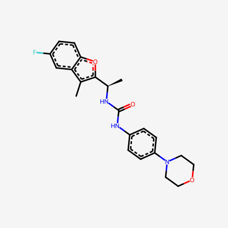 Cc1c([C@@H](C)NC(=O)Nc2ccc(N3CCOCC3)cc2)oc2ccc(F)cc12